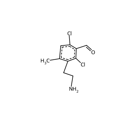 Cc1cc(Cl)c(C=O)c(Cl)c1CCN